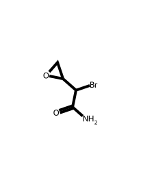 NC(=O)C(Br)C1CO1